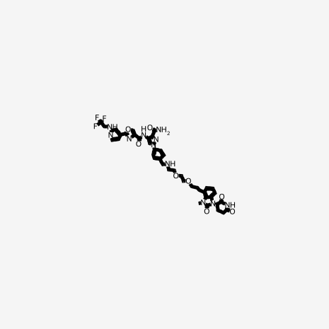 Cn1c(=O)n([C@@H]2CCC(=O)NC2=O)c2cccc(CCCOCCOCCNCc3ccc(-n4cc(NC(=O)c5coc(-c6ccnc(NCC(F)(F)F)c6)n5)c(C(N)=O)n4)cc3)c21